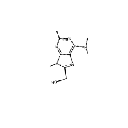 Cc1nc(N(C)C)c2nc(CO)n(C)c2n1